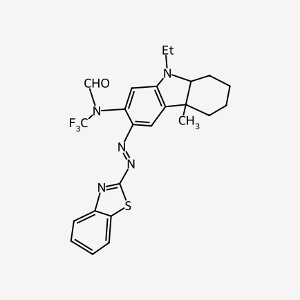 CCN1c2cc(N(C=O)C(F)(F)F)c(N=Nc3nc4ccccc4s3)cc2C2(C)CCCCC12